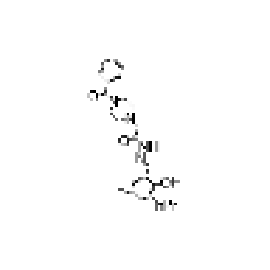 CCCc1cc(F)cc(/C=N/NC(=O)CN2CCN(C(=O)c3ccccc3)CC2)c1O